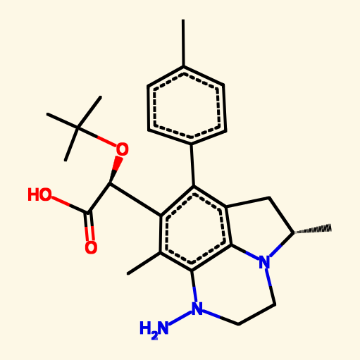 Cc1ccc(-c2c3c4c(c(C)c2[C@H](OC(C)(C)C)C(=O)O)N(N)CCN4[C@@H](C)C3)cc1